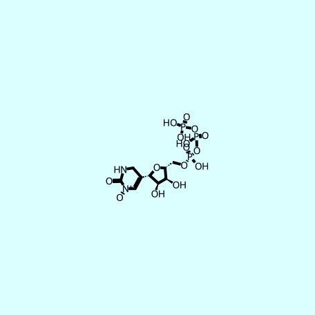 O=C1NCC([C@@H]2O[C@H](COP(=O)(O)OP(=O)(O)OP(=O)(O)O)[C@@H](O)[C@H]2O)=C[N+]1=O